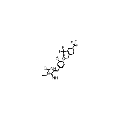 CCN1C(=N)C(=Cc2ccc(OCc3ccc(C(F)(F)F)cc3C(F)(F)F)c(OC)c2)NC1=O